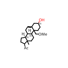 COCC12CC[C@H](O)CC1=CCC1[C@@H]2CCC2(C)C(C(C)=O)CC[C@@H]12